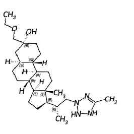 CCOC[C@@]1(O)CC[C@H]2[C@@H](CC[C@@H]3[C@@H]2CC[C@]2(C)[C@@H]([C@@H](C)CN4N=C(C)NN4)CC[C@@H]32)C1